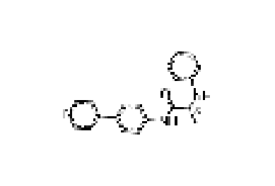 C[C@H](Nc1ccccc1)C(=O)Nc1ccc(-c2ccncc2)cc1